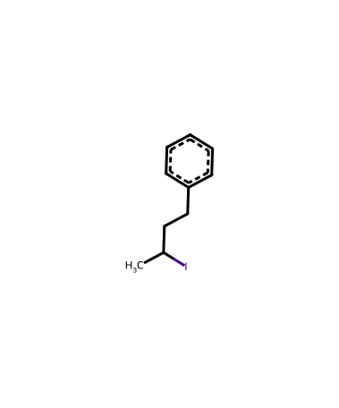 CC(I)CCc1ccccc1